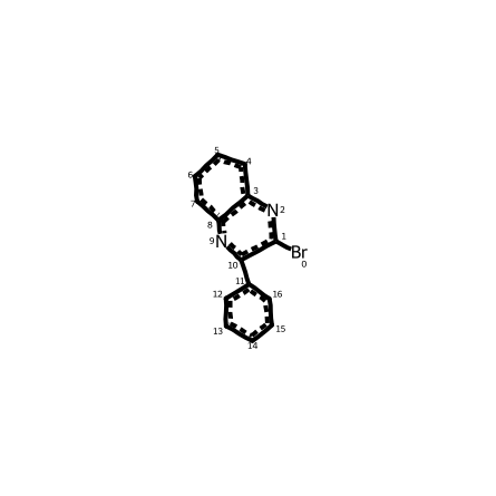 Brc1nc2ccccc2nc1-c1ccccc1